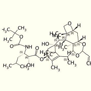 C=CC1O[C@H]2C[C@H]3OC[C@@]3(C)[C@H]3[C@H](C)[C@]4(O)C[C@H](OC(=O)[C@H](O)[C@H](CC(C)C)NC(=O)OC(C)(C)C)C(C)=C([C@H](C)[C@H](O1)[C@]23C)C4(C)C